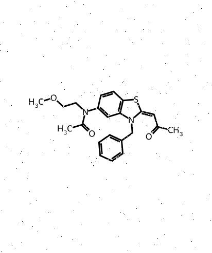 COCCN(C(C)=O)c1ccc2c(c1)N(Cc1ccccc1)C(=CC(C)=O)S2